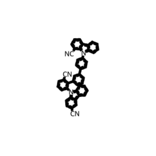 N#Cc1ccc2c(c1)c1ccccc1n2-c1cccc(C#N)c1-c1cccc(-c2ccc(-n3c4ccccc4c4cccc(C#N)c43)cc2)c1